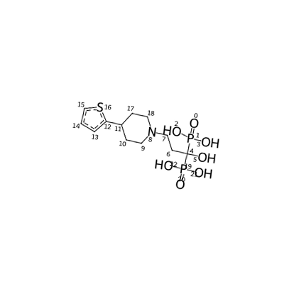 O=P(O)(O)C(O)(CCN1CCC(c2cccs2)CC1)P(=O)(O)O